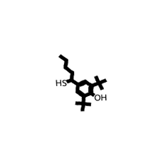 CCCCC(S)c1cc(C(C)(C)C)c(O)c(C(C)(C)C)c1